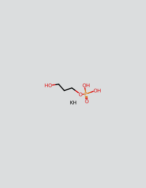 O=P(O)(O)OCCCO.[KH]